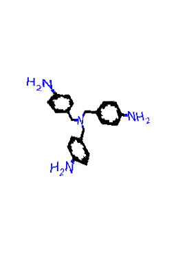 Nc1ccc(CN(Cc2ccc(N)cc2)Cc2ccc(N)cc2)cc1